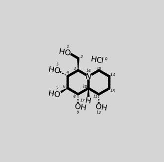 Cl.OC[C@@H]1[C@@H](O)[C@H](O)[C@@H](O)[C@H]2[C@@H](O)CCCN21